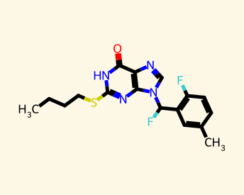 CCCCSc1nc2c(ncn2C(F)c2cc(C)ccc2F)c(=O)[nH]1